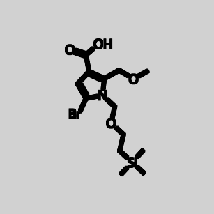 COCc1c(C(=O)O)cc(Br)n1COCC[Si](C)(C)C